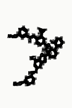 COc1cc(NCc2cc(C#N)c3oc(C4(NC(=O)c5cc(C6CC6)c(CNc6ccnc(OC)c6)cn5)C=CC=C(c5ccccc5C)C4Cl)nc3c2)ccn1